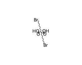 O=C(O)C(CCCCCCCBr)=C(CCCCCCCBr)C(=O)O